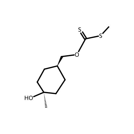 CSC(=S)OC[C@H]1CC[C@@](C)(O)CC1